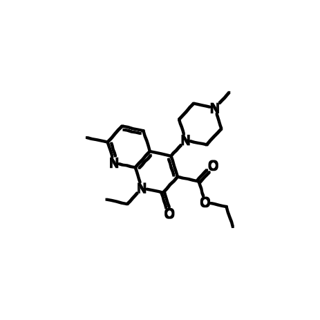 CCOC(=O)c1c(N2CCN(C)CC2)c2ccc(C)nc2n(CC)c1=O